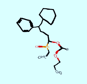 CC(C)C(OCCC=O)OC(CCC(c1ccccc1)C1CCCCC1)[PH](=O)C[C]=O